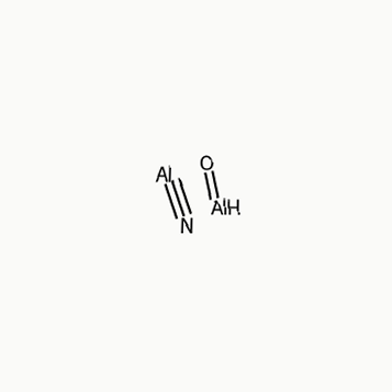 [N]#[Al].[O]=[AlH]